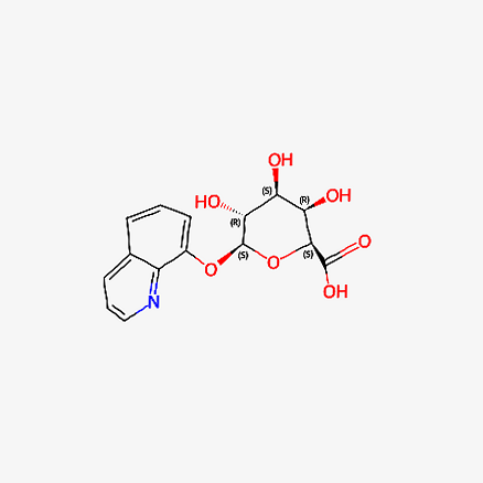 O=C(O)[C@H]1O[C@@H](Oc2cccc3cccnc23)[C@H](O)[C@@H](O)[C@H]1O